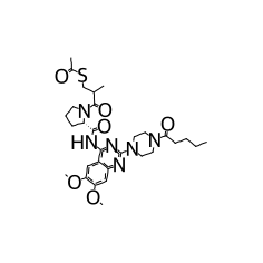 CCCCC(=O)N1CCN(c2nc(NC(=O)[C@@H]3CCCN3C(=O)C(C)CSC(C)=O)c3cc(OC)c(OC)cc3n2)CC1